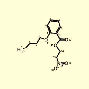 CCCCOc1c[c]ccc1C(=O)OCC[N+](=O)[O-]